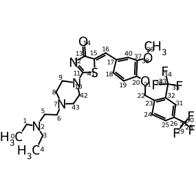 CCN(CC)CCN1CCN(C2=NC(=O)C(=Cc3ccc(OCc4ccc(C(F)(F)F)cc4C(F)(F)F)c(OC)c3)S2)CC1